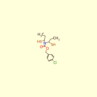 CCC(S)N(C(=O)OCc1ccc(Cl)cc1)C(S)CC